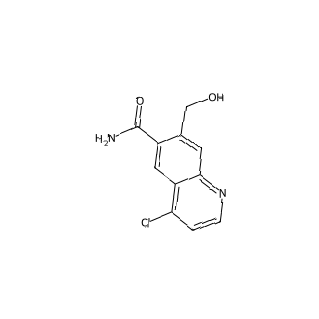 NC(=O)c1cc2c(Cl)ccnc2cc1CO